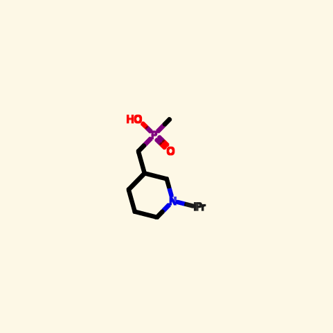 CC(C)N1CCCC(CP(C)(=O)O)C1